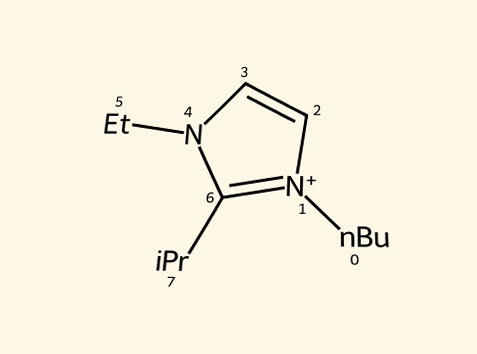 CCCC[n+]1ccn(CC)c1C(C)C